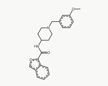 COc1cccc(CN2CCC(NC(=O)c3occ4ccccc34)CC2)c1